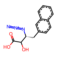 [N-]=[N+]=N[C@H](Cc1ccc2ccccc2c1)C(O)C(=O)O